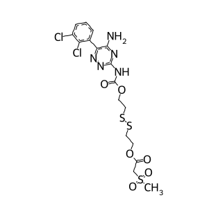 CS(=O)(=O)CC(=O)OCCSSCCOC(=O)Nc1nnc(-c2cccc(Cl)c2Cl)c(N)n1